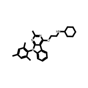 Cc1cc(C)c(-n2c3ccccc3c3c(OCCNC4CCCCC4)nc(C)nc32)c(C)c1